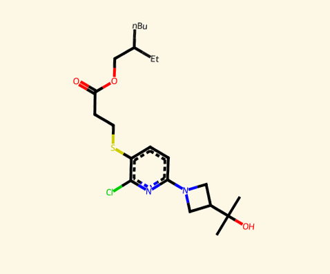 CCCCC(CC)COC(=O)CCSc1ccc(N2CC(C(C)(C)O)C2)nc1Cl